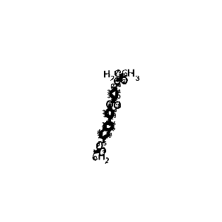 C=CC(=O)OCc1ccc2cc(-c3ccc(OC(=O)c4ccc(OCOC(=O)C(=C)C)cc4)cc3)ccc2c1